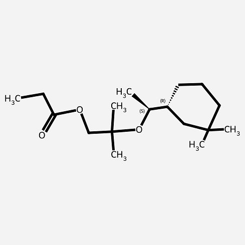 CCC(=O)OCC(C)(C)O[C@@H](C)[C@@H]1CCCC(C)(C)C1